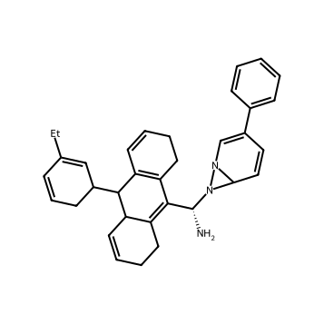 CCC1=CC(C2C3=C(CCC=C3)C([C@@H](N)N3C4C=CC(c5ccccc5)=CN43)=C3CCC=CC32)CC=C1